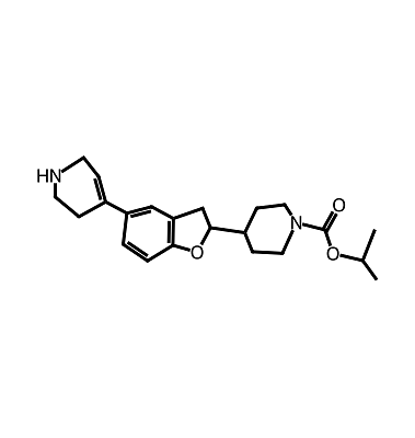 CC(C)OC(=O)N1CCC(C2Cc3cc(C4=CCNCC4)ccc3O2)CC1